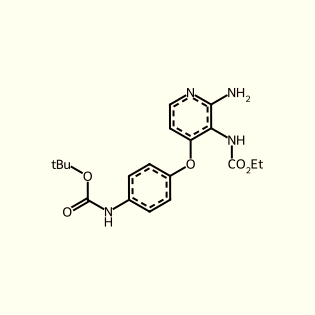 CCOC(=O)Nc1c(Oc2ccc(NC(=O)OC(C)(C)C)cc2)ccnc1N